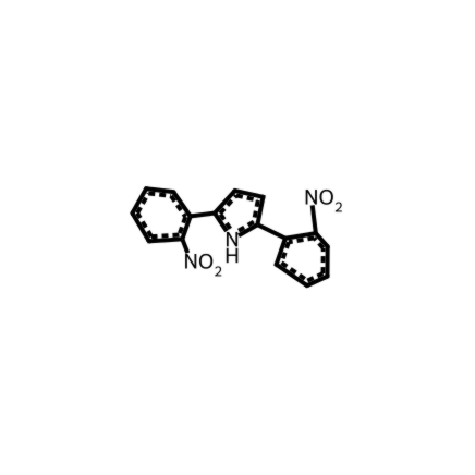 O=[N+]([O-])c1ccccc1-c1ccc(-c2ccccc2[N+](=O)[O-])[nH]1